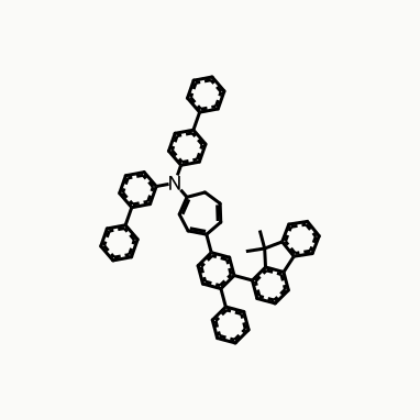 CC1(C)c2ccccc2-c2cccc(-c3cc(C4=CC=C(N(c5ccc(-c6ccccc6)cc5)c5cccc(-c6ccccc6)c5)CC=C4)ccc3-c3ccccc3)c21